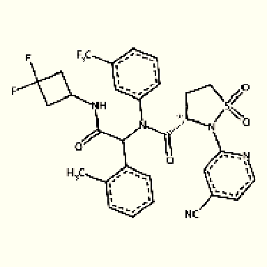 Cc1ccccc1C(C(=O)NC1CC(F)(F)C1)N(C(=O)[C@@H]1CCS(=O)(=O)N1c1cc(C#N)ccn1)c1cccc(C(F)(F)F)c1